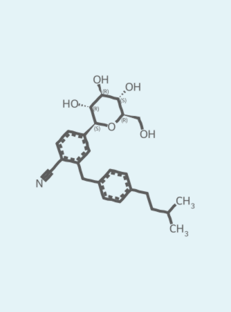 CC(C)CCc1ccc(Cc2cc([C@@H]3O[C@H](CO)[C@@H](O)[C@H](O)[C@H]3O)ccc2C#N)cc1